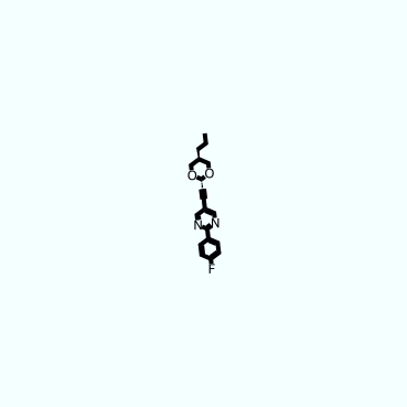 CCC[C@H]1CO[C@H](C#Cc2cnc(-c3ccc(F)cc3)nc2)OC1